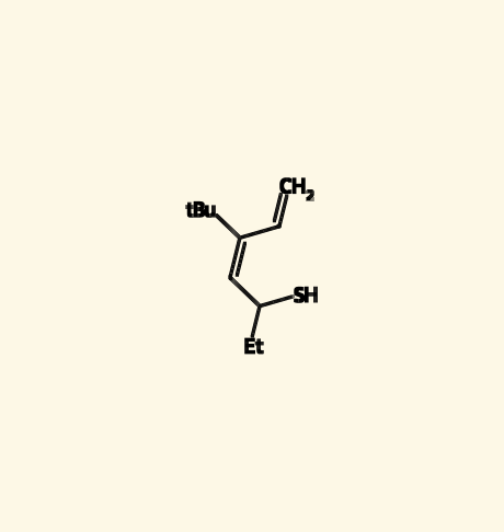 C=C/C(=C\C(S)CC)C(C)(C)C